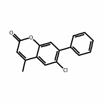 Cc1cc(=O)oc2cc(-c3ccccc3)c(Cl)cc12